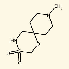 CN1CCC2(CC1)CNS(=O)(=O)CO2